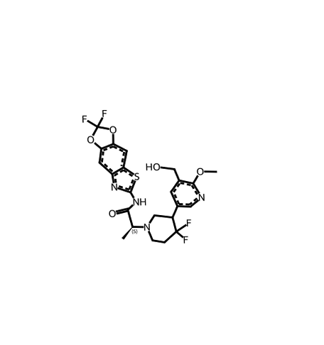 COc1ncc(C2CN([C@@H](C)C(=O)Nc3nc4cc5c(cc4s3)OC(F)(F)O5)CCC2(F)F)cc1CO